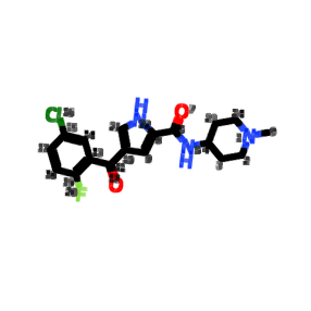 CN1CCC(NC(=O)c2cc(C(=O)c3cc(Cl)ccc3F)c[nH]2)CC1